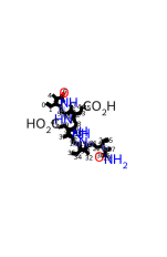 C=CC1=C(C)C(=O)N/C1=C\c1[nH]c(Cc2[nH]c(/C=c3\[nH]/c(=C/C/C(C=C)=C(/C)C(N)=O)c(C)c3C=C)c(C)c2CCC(=O)O)c(CCC(=O)O)c1C